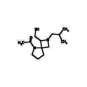 CC(=O)N1CCCC12CN(CC(C)C)C2CS